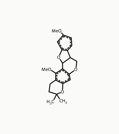 COc1ccc2c(c1)OC1c3c(cc4c(c3OC)CCC(C)(C)O4)OCC21